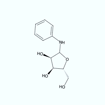 OC[C@H]1OC(Nc2ccccc2)[C@H](O)[C@@H]1O